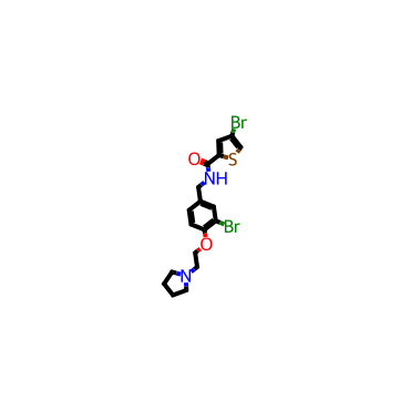 O=C(NCc1ccc(OCCN2CCCC2)c(Br)c1)c1cc(Br)cs1